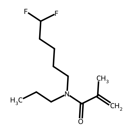 C=C(C)C(=O)N(CCC)CCCCC(F)F